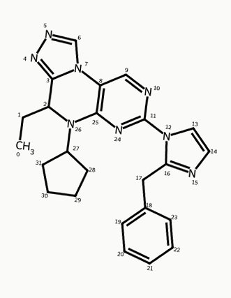 CCC1c2nncn2-c2cnc(-n3ccnc3Cc3ccccc3)nc2N1C1CCCC1